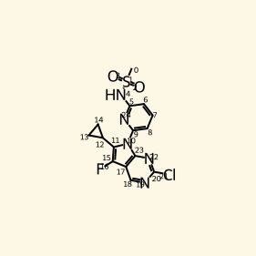 CS(=O)(=O)Nc1cccc(-n2c(C3CC3)c(F)c3cnc(Cl)nc32)n1